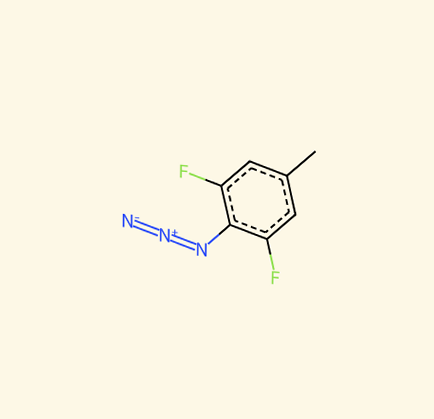 Cc1cc(F)c(N=[N+]=[N-])c(F)c1